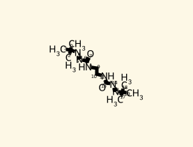 CC(C)(C)N=NC(=O)NCCNC(=O)N=NC(C)(C)C